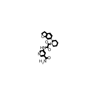 NC(=O)c1cncc(NC(=O)C(=O)N2CCCC[C@H]2c2ccc3c(c2)OCC3)c1